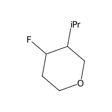 CC(C)C1COCCC1F